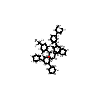 FC(F)(F)c1cc(-n2c3ccccc3c3cc(-c4ccccc4)ccc32)c(-c2cccc(-c3ccccc3)n2)c(-n2c3ccccc3c3cc(-c4ccccc4)ccc32)c1